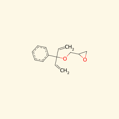 C=CC(C=C)(OCC1CO1)c1ccccc1